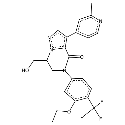 CCOc1cc(N2CC(CO)n3ncc(-c4ccnc(C)c4)c3C2=O)ccc1C(F)(F)F